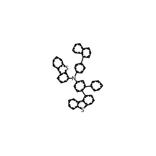 c1ccc(-c2cc(N(c3ccc(-c4cccc5ccccc45)cc3)c3cccc4c3sc3ccccc34)ccc2-c2cccc3sc4ccccc4c23)cc1